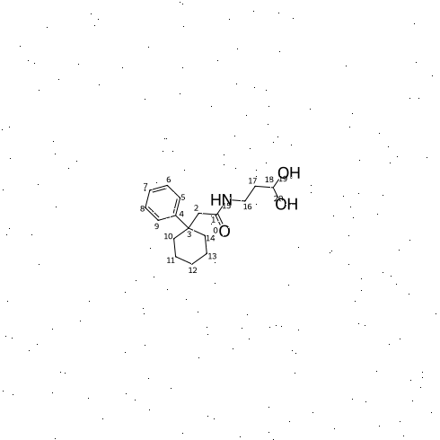 O=C(CC1(c2cc[c]cc2)CCCCC1)NCCC(O)O